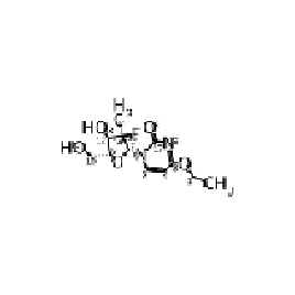 CCOc1ccn([C@@H]2O[C@H](CO)C(O)[C@@]2(C)F)c(=O)n1